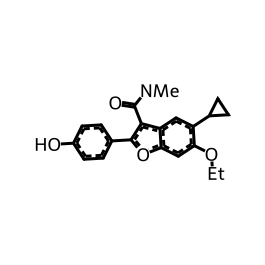 CCOc1cc2oc(-c3ccc(O)cc3)c(C(=O)NC)c2cc1C1CC1